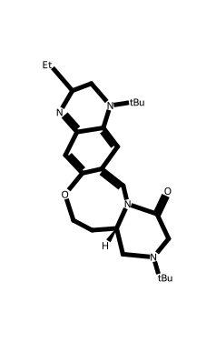 CCC1CN(C(C)(C)C)c2cc3c(cc2=N1)OCC[C@H]1CN(C(C)(C)C)CC(=O)N1C=3